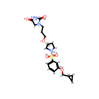 O=C1CN(CCCO[C@@H]2CCN(S(=O)(=O)c3cccc(OCC4CC4)c3)C2)C(=O)N1